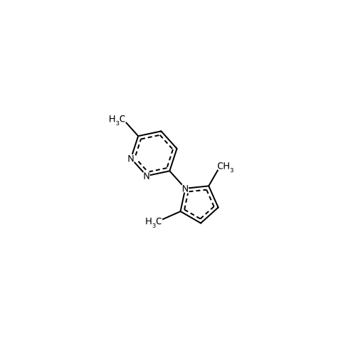 Cc1ccc(-n2c(C)ccc2C)nn1